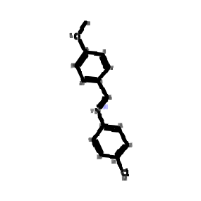 COc1ccc(/C=N/c2ccc(Cl)cc2)cc1